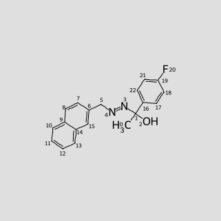 CC(O)(N=NCc1ccc2ccccc2c1)c1ccc(F)cc1